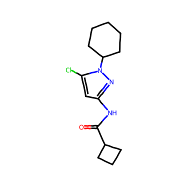 O=C(Nc1cc(Cl)n(C2CCCCC2)n1)C1CCC1